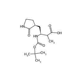 CC(C(=O)O)[C@H](C[C@@H]1CCNC1=O)NC(=O)OC(C)(C)C